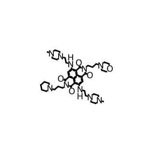 CN1CCN(CCNc2cc3c4c(c(NCCN5CCN(C)CC5)cc5c4c2C(=O)N(CCCN2CCCCC2)C5=O)C(=O)N(CCCN2CCOCC2)C3=O)CC1